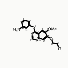 COc1cc2c(Sc3cccc(N)c3)ncnc2cc1OCCCl